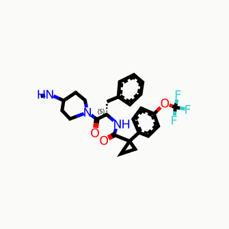 CNC1CCN(C(=O)[C@H](Cc2ccccc2)NC(=O)C2(c3ccc(OC(F)(F)F)cc3)CC2)CC1